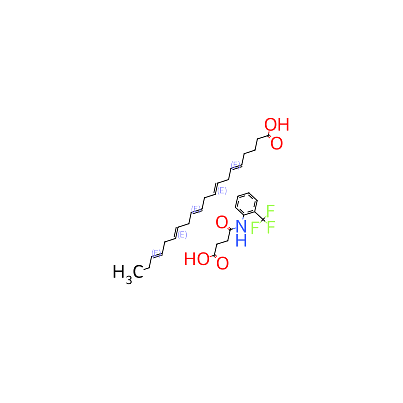 CC/C=C/C/C=C/C/C=C/C/C=C/C/C=C/CCCC(=O)O.O=C(O)CCC(=O)Nc1ccccc1C(F)(F)F